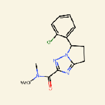 CON(C)C(=O)c1nc2n(n1)C(c1ccccc1Cl)CC2